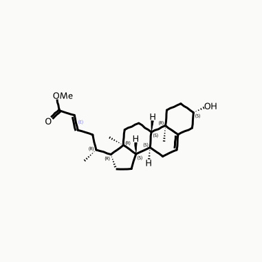 COC(=O)/C=C/C[C@@H](C)[C@H]1CC[C@H]2[C@@H]3CC=C4C[C@@H](O)CC[C@]4(C)[C@H]3CC[C@]12C